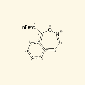 CCCCCC1=c2ccccc2=CC=NO1